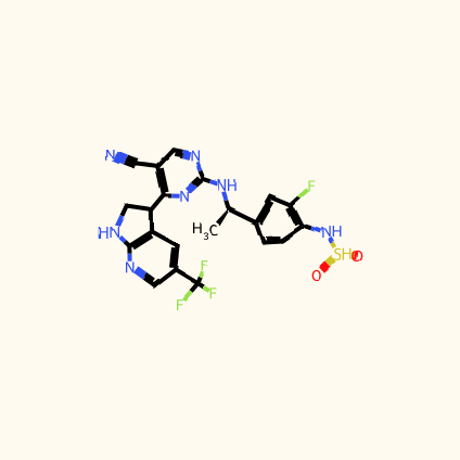 C[C@@H](Nc1ncc(C#N)c(C2CNc3ncc(C(F)(F)F)cc32)n1)c1ccc(N[SH](=O)=O)c(F)c1